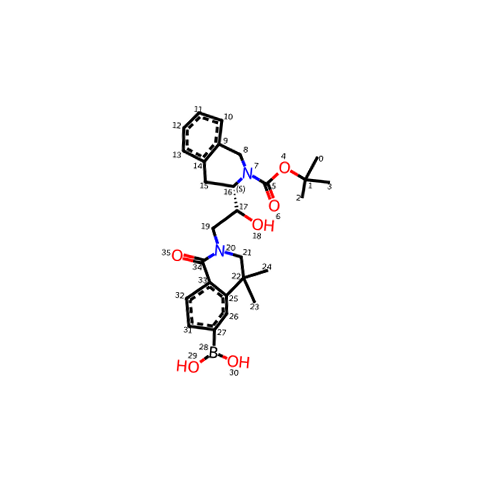 CC(C)(C)OC(=O)N1Cc2ccccc2C[C@H]1C(O)CN1CC(C)(C)c2cc(B(O)O)ccc2C1=O